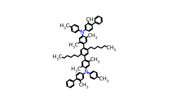 CCCCCCc1cc(-c2cc(C)c(N(c3ccc(C)cc3)c3ccc(-c4ccccc4)c(C)c3)cc2C)c(CCCCCC)cc1-c1cc(C)c(N(c2ccc(C)cc2)c2ccc(-c3ccccc3)c(C)c2)cc1C